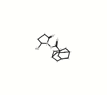 O=C1CCC(O)N1OC(=O)C12CC3CC(CC(C3)C1)C2